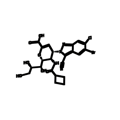 N#Cc1c2cc(Br)c(Cl)cc2nn1[C@H]1C=C(C(=O)O)O[C@@H]([C@H](O)[C@H](O)CO)[C@@H]1NC(=O)C1CCC1